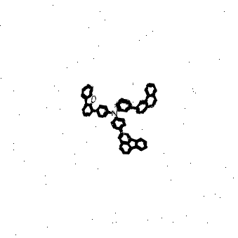 c1cc(-c2ccc3ccc4ccccc4c3c2)cc(N(c2ccc(-c3cc4c5c(cccc5c3)-c3ccccc3-4)cc2)c2ccc(-c3cccc4c3oc3ccccc34)cc2)c1